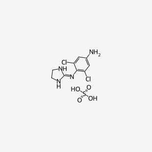 Nc1cc(Cl)c(N=C2NCCN2)c(Cl)c1.O=S(=O)(O)O